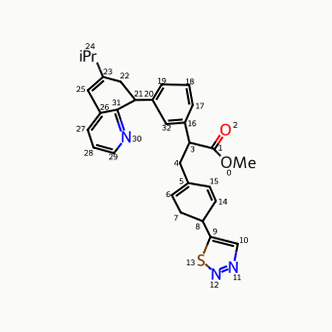 COC(=O)C(CC1=CCC(c2cnns2)C=C1)c1cccc(C2CC(C(C)C)=Cc3cccnc32)c1